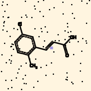 Cc1ccc(Cl)cc1/C=C/C(=O)O